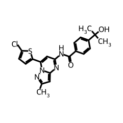 Cc1cc2nc(NC(=O)c3ccc(C(C)(C)O)cc3)cc(-c3ccc(Cl)s3)n2n1